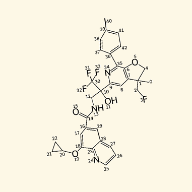 CC1(CF)COc2c1cc(C(O)(CNC(=O)c1cc(OC3CC3)c3ncccc3c1)C(F)(F)F)nc2-c1ccc(I)cc1